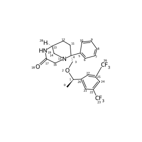 C[C@@H](OC[C@@]1(c2ccccc2)CC[C@H]2CN1CC(=O)N2)c1cc(C(F)(F)F)cc(C(F)(F)F)c1